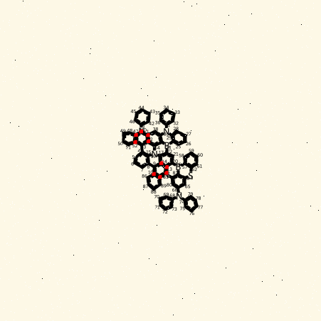 c1ccc(-c2cccc(-c3ccccc3)c2N2c3cc4c(cc3B3c5ccccc5N(c5ccccc5)c5cc(N(c6ccccc6)c6ccccc6)cc2c53)B2c3ccccc3Sc3cc(N(c5ccccc5)c5ccccc5)cc(c32)N4c2ccccc2)cc1